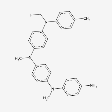 Cc1ccc(N(CI)c2ccc(N(C)c3ccc(N(C)c4ccc(N)cc4)cc3)cc2)cc1